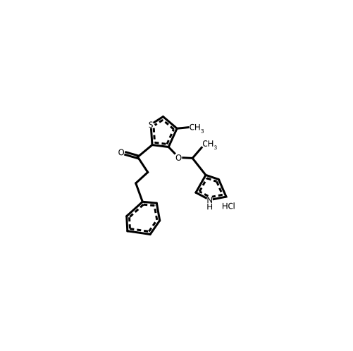 Cc1csc(C(=O)CCc2ccccc2)c1OC(C)c1cc[nH]c1.Cl